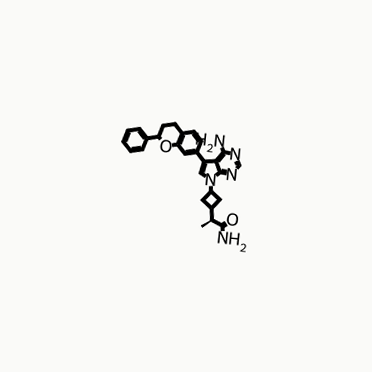 C[C@H](C(N)=O)C1CC(n2cc(-c3ccc4c(c3)OC(c3ccccc3)CC4)c3c(N)ncnc32)C1